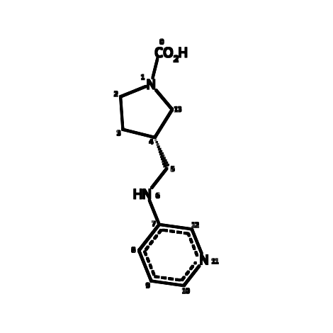 O=C(O)N1CC[C@@H](CNc2cccnc2)C1